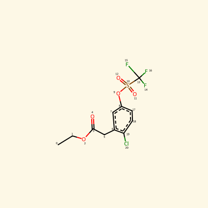 CCOC(=O)Cc1cc(OS(=O)(=O)C(F)(F)F)ccc1Cl